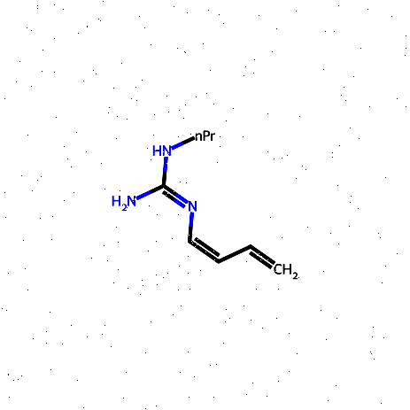 C=C/C=C\N=C(/N)NCCC